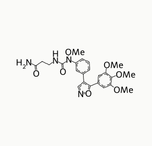 COc1cc(-c2oncc2-c2cccc(N(OC)C(=O)NCCC(N)=O)c2)cc(OC)c1OC